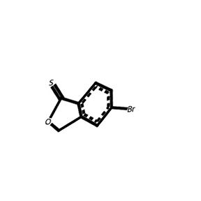 S=C1OCc2cc(Br)ccc21